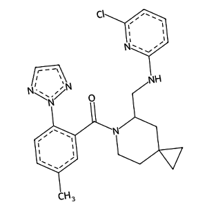 Cc1ccc(-n2nccn2)c(C(=O)N2CCC3(CC3)CC2CNc2cccc(Cl)n2)c1